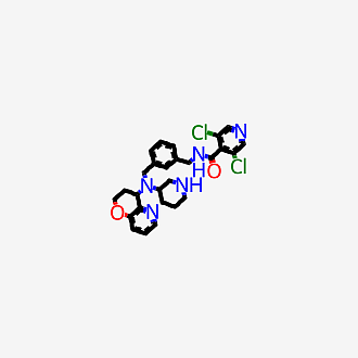 O=C(NCc1cccc(CN(C2CCCNC2)C2CCOc3cccnc32)c1)c1c(Cl)cncc1Cl